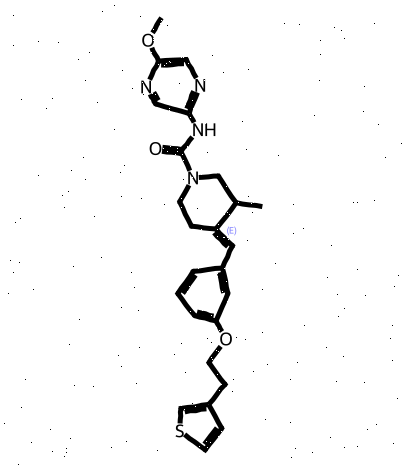 COc1cnc(NC(=O)N2CC/C(=C\c3cccc(OCCc4ccsc4)c3)C(C)C2)cn1